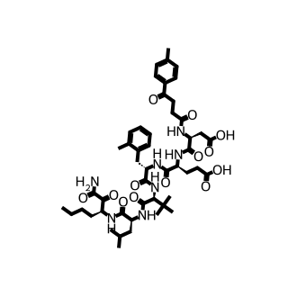 CCCC[C@H](NC(=O)[C@H](CC(C)C)NC(=O)[C@@H](NC(=O)[C@H](Cc1ccccc1C)NC(=O)[C@H](CCC(=O)O)NC(=O)[C@H](CC(=O)O)NC(=O)CCC(=O)c1ccc(C)cc1)C(C)(C)C)C(=O)C(N)=O